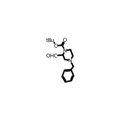 CC(C)(C)OC(=O)N1CCN(Cc2ccccc2)CC1C=O